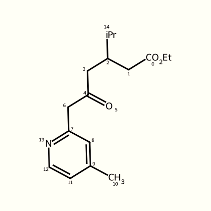 CCOC(=O)CC(CC(=O)Cc1cc(C)ccn1)C(C)C